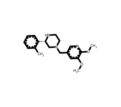 COc1cc(CN2CCN[C@@H](c3ccccc3C)C2)cnc1OC